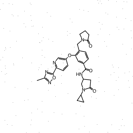 Cc1noc(-c2ccc(Oc3cc(C(=O)NC4CC(=O)N(C5CC5)C4)ccc3CN3CCCC3=O)cn2)n1